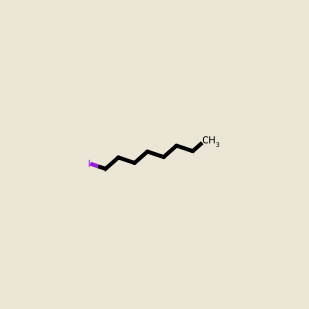 CCCCCCC[CH]I